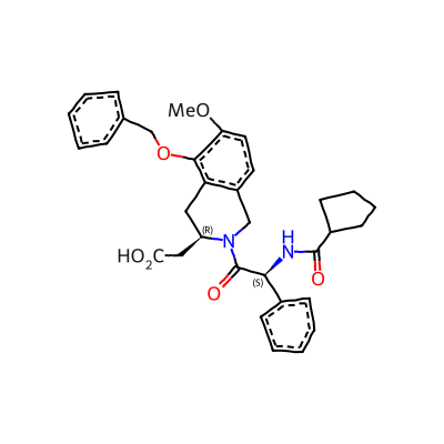 COc1ccc2c(c1OCc1ccccc1)C[C@H](CC(=O)O)N(C(=O)[C@@H](NC(=O)C1CCCC1)c1ccccc1)C2